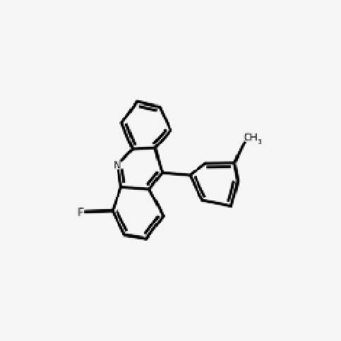 Cc1cccc(-c2c3ccccc3nc3c(F)cccc23)c1